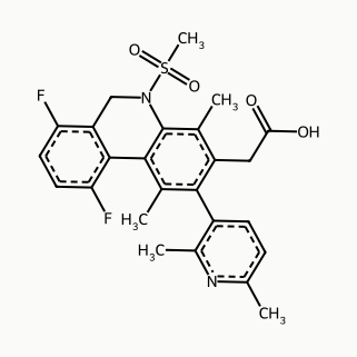 Cc1ccc(-c2c(C)c3c(c(C)c2CC(=O)O)N(S(C)(=O)=O)Cc2c(F)ccc(F)c2-3)c(C)n1